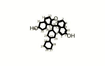 Oc1ccc2c3c(ccc2c1)Oc1ccc2c(c1C3C1CCC(C3CCCCC3)CC1)CCC(O)C2